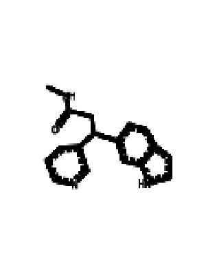 CNC(=O)CC(c1cccnc1)c1ccc2cc[nH]c2c1